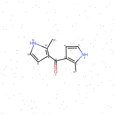 Cc1[nH]ccc1C(=O)c1cc[nH]c1C